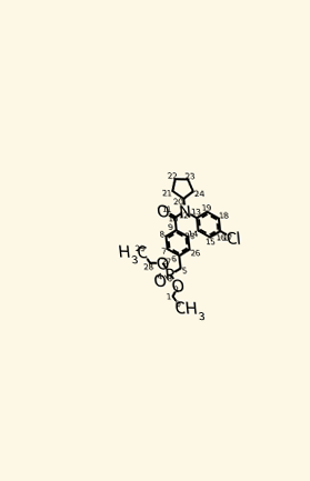 CCOP(=O)(Cc1ccc(C(=O)N(c2ccc(Cl)cc2)C2CCCC2)cc1)OCC